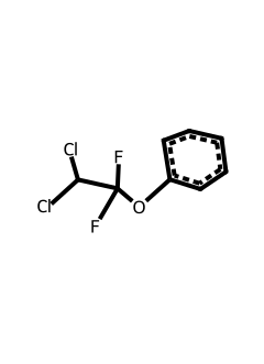 FC(F)(Oc1ccccc1)C(Cl)Cl